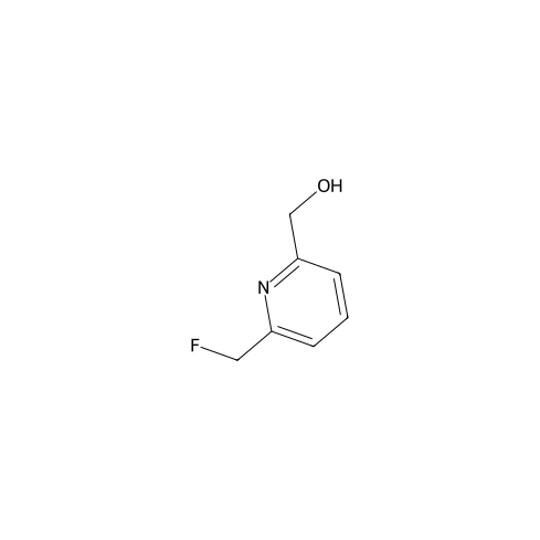 OCc1cccc(CF)n1